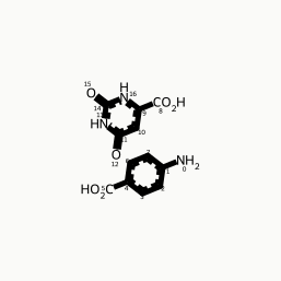 Nc1ccc(C(=O)O)cc1.O=C(O)c1cc(=O)[nH]c(=O)[nH]1